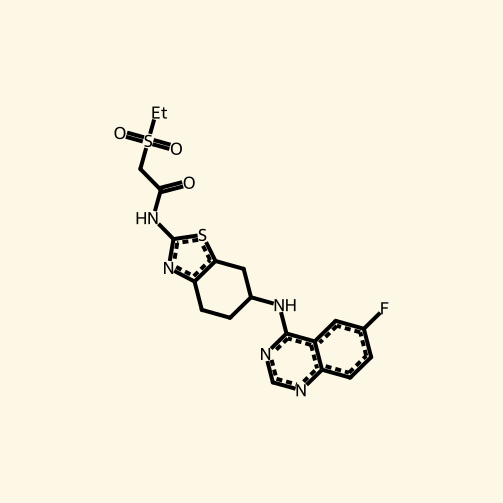 CCS(=O)(=O)CC(=O)Nc1nc2c(s1)CC(Nc1ncnc3ccc(F)cc13)CC2